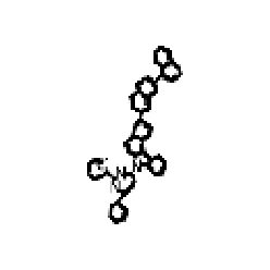 C1=CC(n2c3ccccc3c3c4ccc(-c5ccc6ccc(-c7cccc8ccccc78)cc6c5)cc4ccc32)=NC(c2ccccc2)=NC=1c1ccccc1